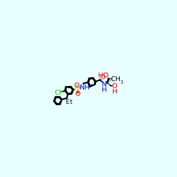 CCC(c1ccccc1)c1cc(S(=O)(=O)NCc2ccc(C(=O)N[C@H](CO)[C@@H](C)O)cc2)ccc1Cl